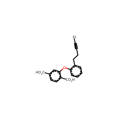 CCC#CCCc1ccccc1Oc1cc(C(=O)O)ccc1C(=O)O